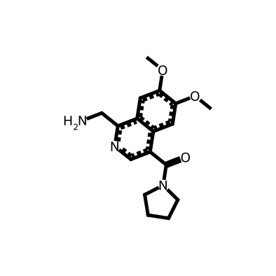 COc1cc2c(C(=O)N3CCCC3)cnc(CN)c2cc1OC